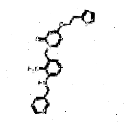 Cc1c(Cn2ccc(OCCc3cccs3)cc2=O)cccc1NCc1cccnc1